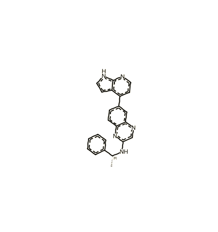 C[C@@H](Nc1cnc2cc(-c3ccnc4[nH]ccc34)ccc2n1)c1ccccc1